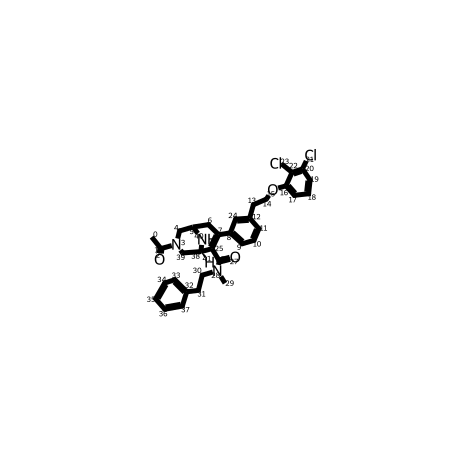 CC(=O)N1CC2CC(c3cccc(CCOc4cccc(Cl)c4Cl)c3)=C(C(=O)N(C)CCc3ccccc3)[C@@H](C1)N2